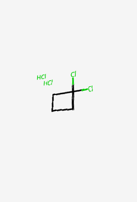 Cl.Cl.ClC1(Cl)CCC1